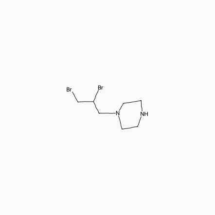 BrCC(Br)CN1CCNCC1